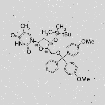 COc1ccc(C(OC[C@H]2O[C@@H](n3cc(C)c(=O)[nH]c3=O)C[C@@H]2O[Si](C)(C)C(C)(C)C)(c2ccccc2)c2ccc(OC)cc2)cc1